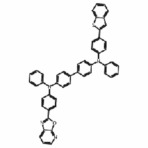 c1ccc(N(c2ccc(-c3ccc(N(c4ccccc4)c4ccc(-c5cc6ccccc6s5)cc4)cc3)cc2)c2ccc(-c3nc4cccnc4o3)cc2)cc1